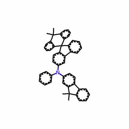 CC1(C)c2ccccc2-c2ccc(N(c3ccccc3)c3ccc4c(c3)-c3ccccc3C43c4ccccc4C(C)(C)c4ccccc43)cc21